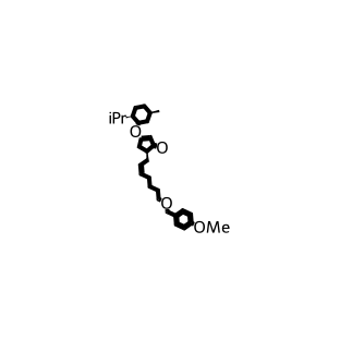 COc1ccc(COCCCC/C=C\C[C@H]2CC(OC3C[C@H](C)CC[C@H]3C(C)C)=CC2=O)cc1